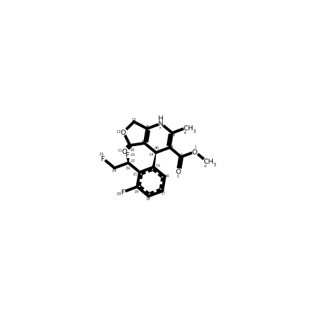 COC(=O)C1=C(C)NC2=C(C(=O)OC2)[C@@H]1c1cccc(F)c1[C@H](F)CF